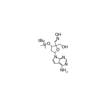 CC(C)(C)[Si](C)(C)OC1CC(n2ccc3c(N)ncnc32)OC1(C=NO)CO